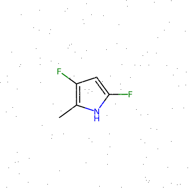 Cc1[nH]c(F)cc1F